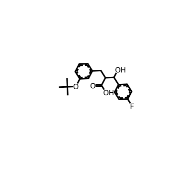 CC(C)(C)Oc1cccc(CC(C(=O)O)C(O)c2ccc(F)cc2)c1